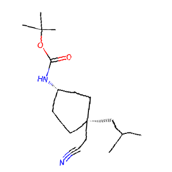 CC(C)C[C@]1(CC#N)CC[C@H](NC(=O)OC(C)(C)C)CC1